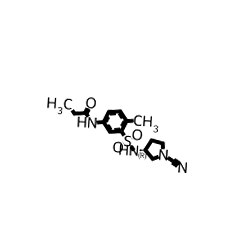 CCC(=O)Nc1ccc(C)c(S(=O)(=O)N[C@@H]2CCN(C#N)C2)c1